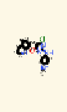 [C-]#[N+]c1ccc(Nc2nc(Cl)cc(Oc3cccc4cccnc34)n2)cc1